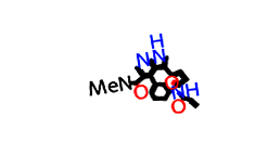 C=CC(=O)NC1CCC=C(c2c(C(=O)NC)cnc3[nH]cc(-c4ccco4)c23)C1